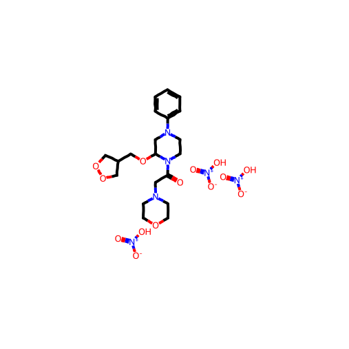 O=C(CN1CCOCC1)N1CCN(c2ccccc2)CC1OCC1COOC1.O=[N+]([O-])O.O=[N+]([O-])O.O=[N+]([O-])O